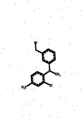 Cc1ccc(N(C)c2cccc(CBr)c2)c(Cl)c1